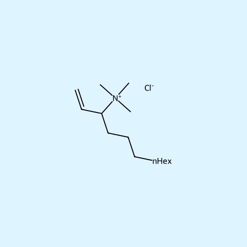 C=CC(CCCCCCCCC)[N+](C)(C)C.[Cl-]